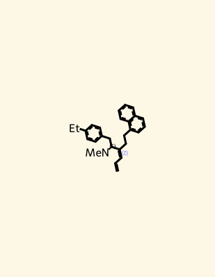 C=C/C=C(/CCc1cccc2ccccc12)[C@H](Cc1ccc(CC)cc1)NC